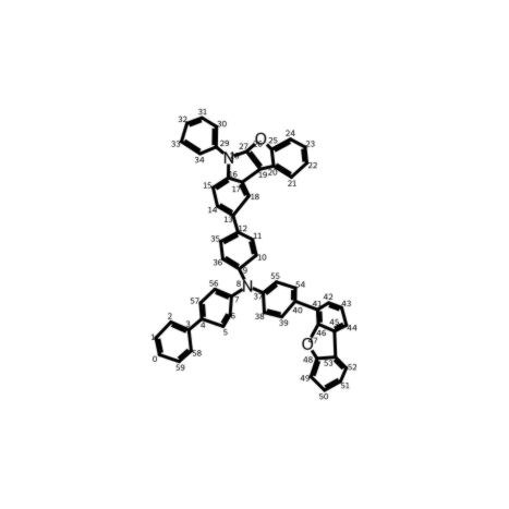 c1ccc(-c2ccc(N(c3ccc(-c4ccc5c(c4)c4c6ccccc6oc4n5-c4ccccc4)cc3)c3ccc(-c4cccc5c4oc4ccccc45)cc3)cc2)cc1